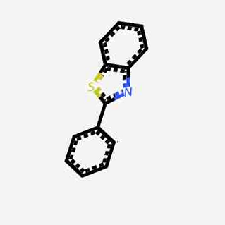 [c]1ccccc1-c1nc2ccccc2s1